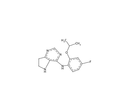 CC(C)Oc1cc(F)ccc1Nc1ncnc2c1NCC2